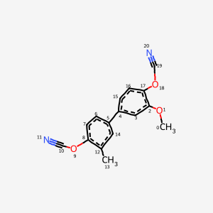 COc1cc(-c2ccc(OC#N)c(C)c2)ccc1OC#N